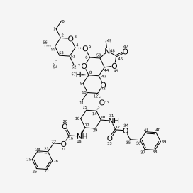 CCC1O[C@H](OC2O[C@H]3CC(C)[C@@H](O[C@H]4CC[C@H](NC(=O)OCc5ccccc5)CC4NC(=O)OCc4ccccc4)OC3C3OC(=O)N(C)C23)C(C)[C@H](C)[C@@H]1C